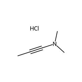 CC#CN(C)C.Cl